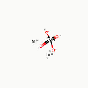 [La+3].[Ni+2].[O]=[Mn](=[O])([O-])[O-]